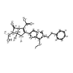 CSc1c2sc(C3=C(C(=O)[O-])N4C(=O)[C@H]([C@@H](C)O)[C@H]4[C@H]3C)c[n+]2cn1CCc1ccccc1